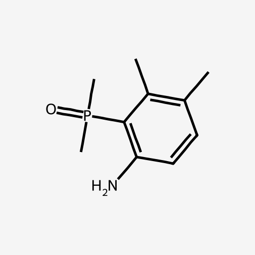 Cc1ccc(N)c(P(C)(C)=O)c1C